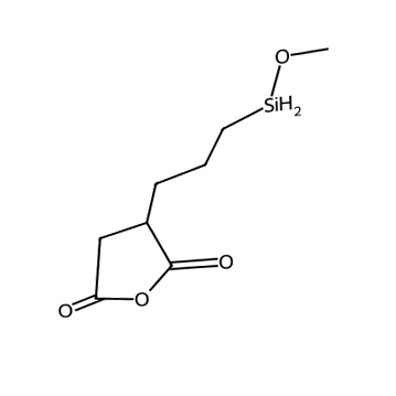 CO[SiH2]CCCC1CC(=O)OC1=O